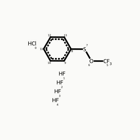 Cl.F.F.F.F.FC(F)(F)OSc1ccccc1